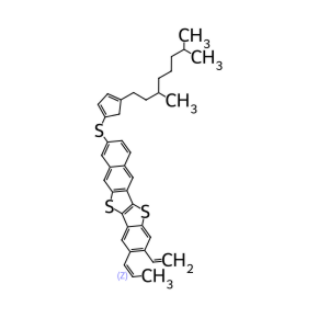 C=Cc1cc2sc3c4cc5ccc(SC6=CC=C(CCC(C)CCCC(C)C)C6)cc5cc4sc3c2cc1/C=C\C